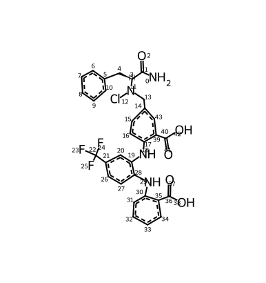 NC(=O)[C@H](Cc1ccccc1)N(Cl)Cc1ccc(Nc2cc(C(F)(F)F)ccc2Nc2ccccc2C(=O)O)c(C(=O)O)c1